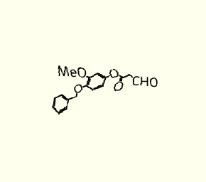 COc1cc(OC(=O)CC=O)ccc1OCc1ccccc1